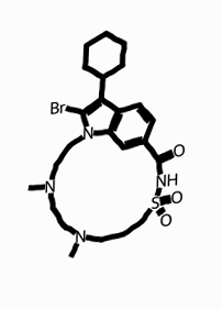 CN1CCCS(=O)(=O)NC(=O)c2ccc3c(C4CCCCC4)c(Br)n(c3c2)CCN(C)CC1